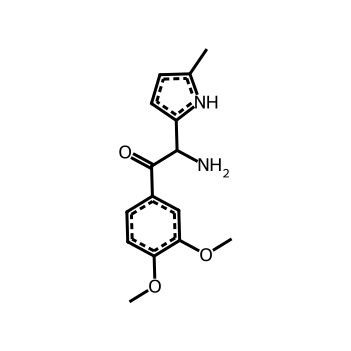 COc1ccc(C(=O)C(N)c2ccc(C)[nH]2)cc1OC